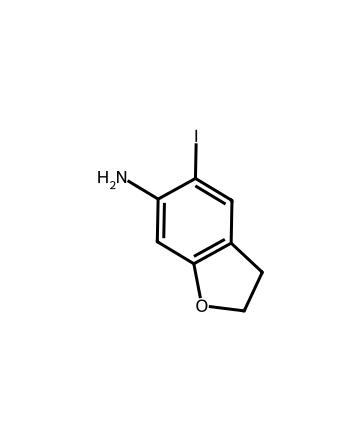 Nc1cc2c(cc1I)CCO2